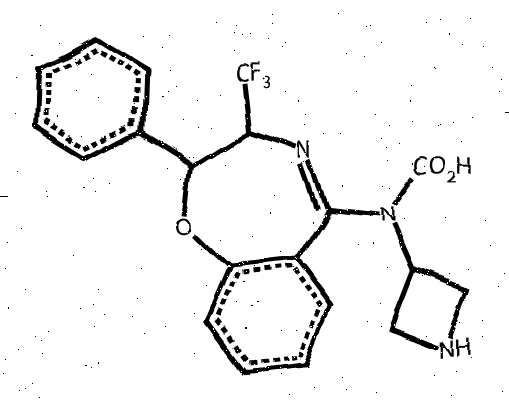 O=C(O)N(C1=NC(C(F)(F)F)C(c2ccccc2)Oc2ccccc21)C1CNC1